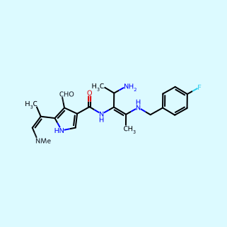 CN/C=C(/C)c1[nH]cc(C(=O)N/C(=C(\C)NCc2ccc(F)cc2)C(C)N)c1C=O